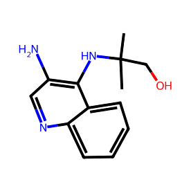 CC(C)(CO)Nc1c(N)cnc2ccccc12